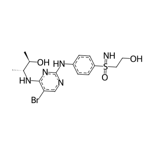 C[C@@H](O)[C@@H](C)Nc1nc(Nc2ccc(S(=N)(=O)CCO)cc2)ncc1Br